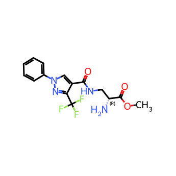 COC(=O)[C@H](N)CNC(=O)c1cn(-c2ccccc2)nc1C(F)(F)F